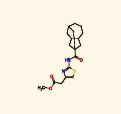 COC(=O)Cc1csc(NC(=O)C23CC4CCCC(C2)C(C4)C3)n1